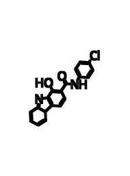 O=C(Nc1ccc(Cl)cc1)c1ccc2c(c1O)N=C1C=CC=CC12